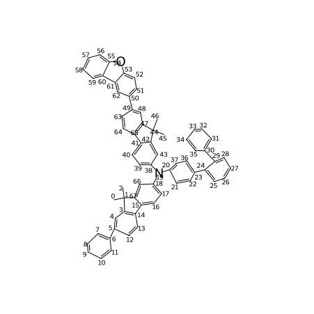 CC1(C)c2cc(-c3ccccc3)ccc2-c2ccc(N(c3ccc(-c4ccccc4-c4ccccc4)cc3)c3ccc4c(c3)C(C)(C)c3cc(-c5ccc6oc7ccccc7c6c5)ccc3-4)cc21